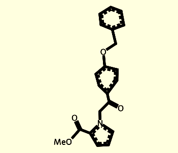 COC(=O)c1cccn1CC(=O)c1ccc(OCc2ccccc2)cc1